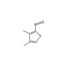 [CH2]c1csc(N=O)c1C